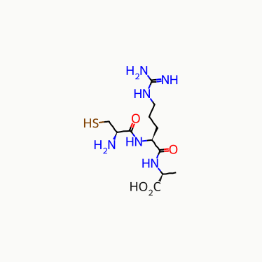 C[C@H](NC(=O)[C@H](CCCNC(=N)N)NC(=O)[C@@H](N)CS)C(=O)O